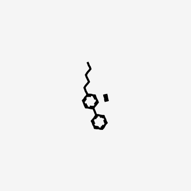 C#C.CCCCCc1ccc(-c2ccccc2)cc1